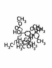 CCCCCCC(O)(CC(=O)OCC)c1cc2c(c(O[Si](C)(C)C(C)(C)C)c1)[C@@H]1CC(C)=CC[C@H]1C(C)(C)O2